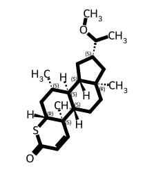 COC(C)[C@H]1C[C@H]2[C@@H]3[C@@H](C)C[C@H]4SC(=O)C=C[C@]4(C)[C@H]3CC[C@]2(C)C1